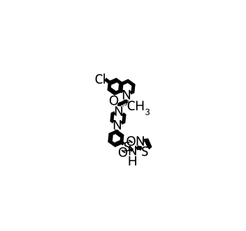 C[C@@H](C(=O)N1CCN(c2cccc(S(=O)(=O)Nc3nccs3)c2)CC1)N1CCCc2cc(Cl)ccc21